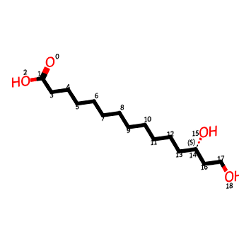 O=C(O)CCCCCCCCCCC[C@H](O)CCO